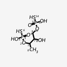 CC(OP(=O)(O)S)C(O)COP(=O)(O)S